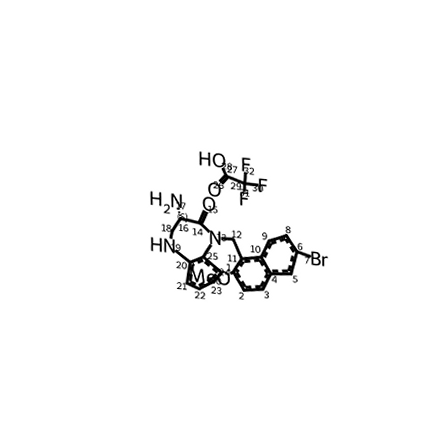 COc1ccc2cc(Br)ccc2c1CN1C(=O)[C@@H](N)CNc2ccccc21.O=C(O)C(F)(F)F